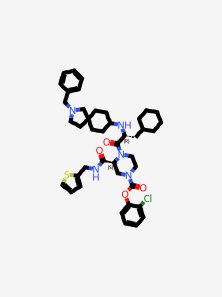 O=C(NCc1cccs1)[C@@H]1CN(C(=O)Oc2ccccc2Cl)CCN1C(=O)[C@@H](CC1CCCCC1)NC1CCC2(CC1)CCN(Cc1ccccc1)C2